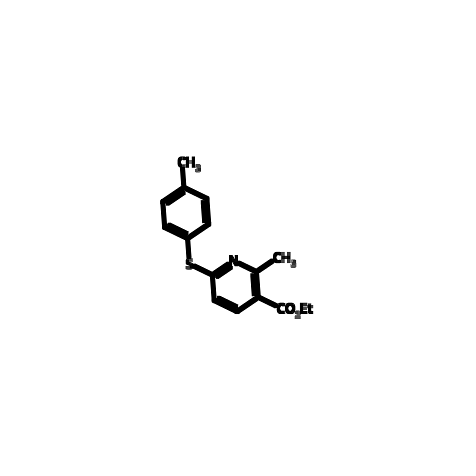 CCOC(=O)c1ccc(Sc2ccc(C)cc2)nc1C